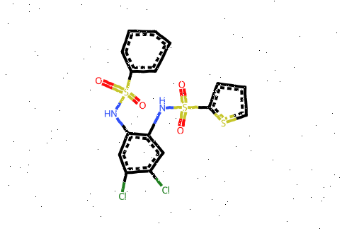 O=S(=O)(Nc1cc(Cl)c(Cl)cc1NS(=O)(=O)c1cccs1)c1ccccc1